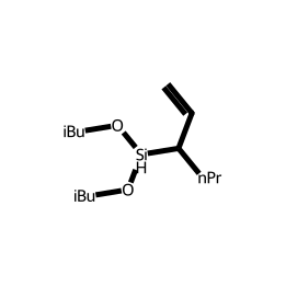 C=CC(CCC)[SiH](OC(C)CC)OC(C)CC